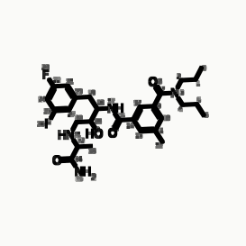 CCCN(CCC)C(=O)c1cc(C)cc(C(=O)NC(Cc2cc(F)cc(F)c2)C(O)CNC(C)C(N)=O)c1